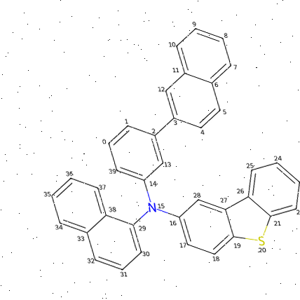 c1cc(-c2ccc3ccccc3c2)cc(N(c2ccc3sc4ccccc4c3c2)c2cccc3ccccc23)c1